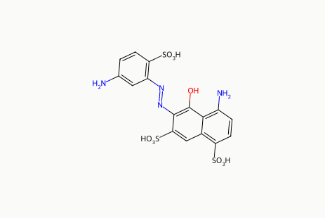 Nc1ccc(S(=O)(=O)O)c(N=Nc2c(S(=O)(=O)O)cc3c(S(=O)(=O)O)ccc(N)c3c2O)c1